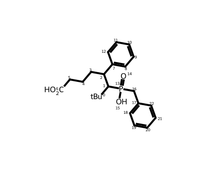 CC(C)(C)C(C(CCCC(=O)O)c1ccccc1)P(=O)(O)Cc1ccccc1